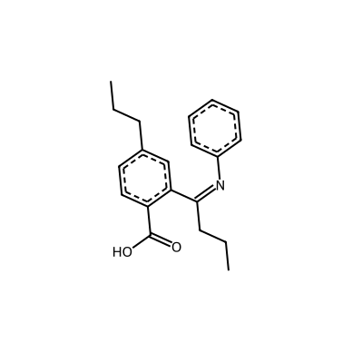 CCCC(=Nc1ccccc1)c1cc(CCC)ccc1C(=O)O